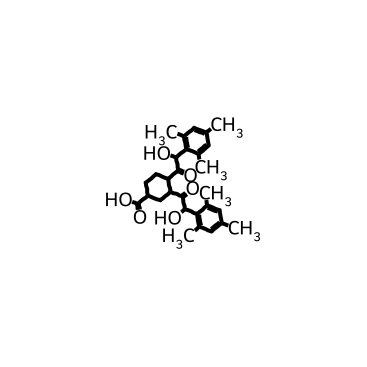 Cc1cc(C)c(C(O)C(=O)C2CCC(C(=O)O)CC2C(=O)C(O)c2c(C)cc(C)cc2C)c(C)c1